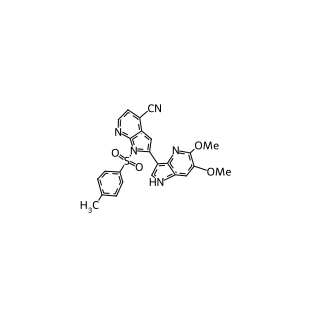 COc1cc2[nH]cc(-c3cc4c(C#N)ccnc4n3S(=O)(=O)c3ccc(C)cc3)c2nc1OC